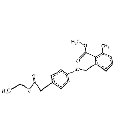 CCOC(=O)Cc1ccc(OCc2cccc(C)c2C(=O)OC)cc1